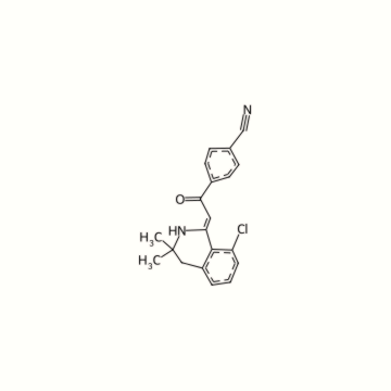 CC1(C)Cc2cccc(Cl)c2C(=CC(=O)c2ccc(C#N)cc2)N1